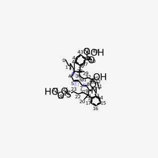 CCN1/C(=C/C=C/C=C/C2=[N+](CC)c3ccccc3C2(C)CCCSOOO)C(C)(CCCC(=O)O)c2cc(S(=O)(=O)O)ccc21